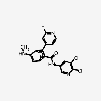 CNc1cc2oc1c(-c1ccnc(F)c1)c2C(=O)Nc1cnc(Cl)c(Cl)c1